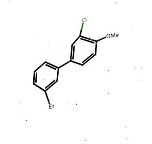 CCc1cccc(-c2ccc(OC)c(Cl)c2)c1